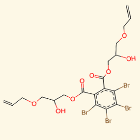 C=CCOCC(O)COC(=O)c1c(Br)c(Br)c(Br)c(Br)c1C(=O)OCC(O)COCC=C